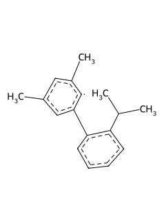 Cc1[c]c(-c2ccccc2C(C)C)cc(C)c1